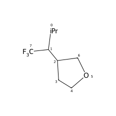 CC(C)C(C1CCOC1)C(F)(F)F